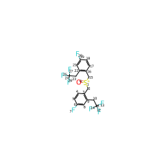 [O-][S+](Cc1ccc(F)cc1CC(F)(F)F)Cc1ccc(F)cc1CC(F)(F)F